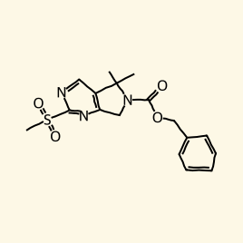 CC1(C)c2cnc(S(C)(=O)=O)nc2CN1C(=O)OCc1ccccc1